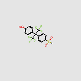 CS(=O)(=O)c1ccc(C(c2ccc(O)cc2)(C(F)(F)F)C(F)(F)F)cc1